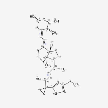 C=C1/C(=C\C=C2/CCC[C@]3(C)[C@@H]([C@H](C)/C=C/[C@@H](O)C4(c5cc(CC)cs5)CC4)CC[C@@H]23)C[C@@H](O)C[C@@H]1O